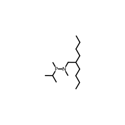 CCCCC(CCCC)CN(C)P(C)C(C)C